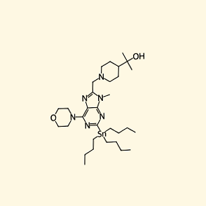 CCC[CH2][Sn]([CH2]CCC)([CH2]CCC)[c]1nc(N2CCOCC2)c2nc(CN3CCC(C(C)(C)O)CC3)n(C)c2n1